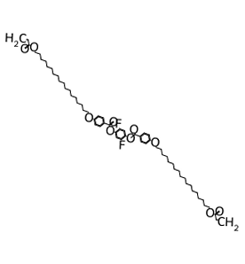 C=CC(=O)OCCCCCCCCCCCCCCCCCCOc1ccc(C(=O)Oc2cc(F)c(OC(=O)c3ccc(OCCCCCCCCCCCCCCCCCCOC(=O)C=C)cc3)cc2F)cc1